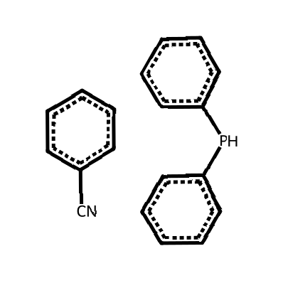 N#Cc1ccccc1.c1ccc(Pc2ccccc2)cc1